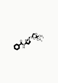 CC1(C)OC[C@@H](Cn2ccc(NC(=O)c3ccccc3)n2)O1